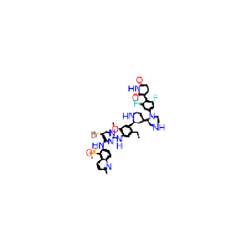 CCc1cc(Nc2ncc(Br)c(Nc3ccc4nc(C)ccc4c3P(C)(C)=O)n2)c(OC)cc1C1CC(C2CNCCN2c2cc(F)c(C3CCC(=O)NC3=O)c(F)c2)CCN1